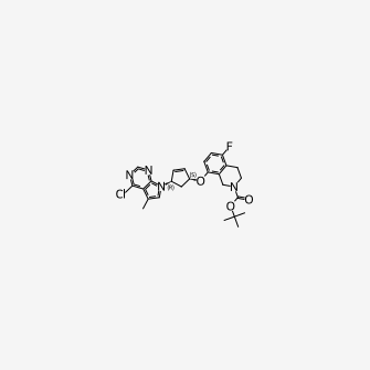 Cc1cn([C@H]2C=C[C@@H](Oc3ccc(F)c4c3CN(C(=O)OC(C)(C)C)CC4)C2)c2ncnc(Cl)c12